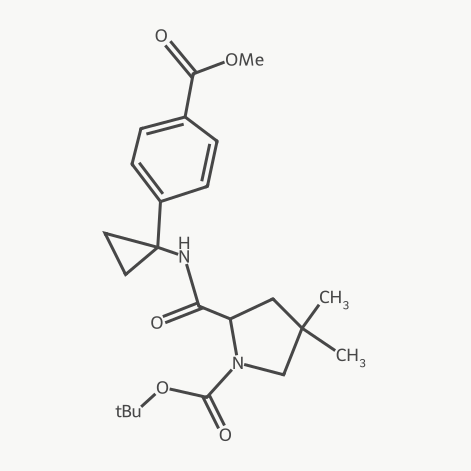 COC(=O)c1ccc(C2(NC(=O)C3CC(C)(C)CN3C(=O)OC(C)(C)C)CC2)cc1